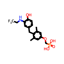 Cc1cc(OCP(=O)(O)O)cc(C)c1Cc1ccc(O)c(NCC(F)(F)F)c1